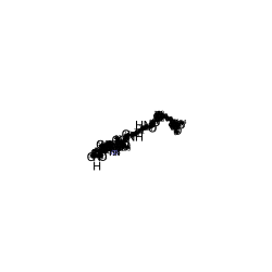 COc1ccc(CCCc2cccc(OCC(=O)NCCCCCCNC(=O)COc3c(OC)cc(/N=N\c4cccc5c4CN(C4CCC(=O)NC4=O)C5=O)cc3OC)c2)cc1OC